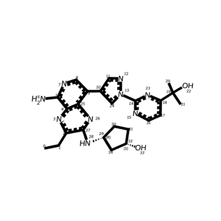 CCc1nc2c(N)ncc(-c3cnn(-c4nccc(C(C)(C)O)n4)c3)c2nc1N[C@@H]1CC[C@H](O)C1